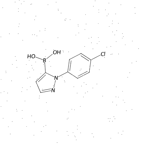 OB(O)c1ccnn1-c1ccc(Cl)cc1